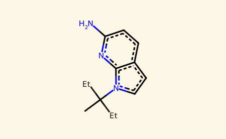 CCC(C)(CC)n1ccc2ccc(N)nc21